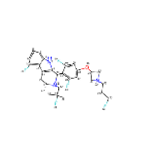 C[C@@H]1Cc2c([nH]c3cccc(F)c23)[C@@H](c2c(F)cc(OC3CN(CCCF)C3)cc2F)N1CC(C)(C)F